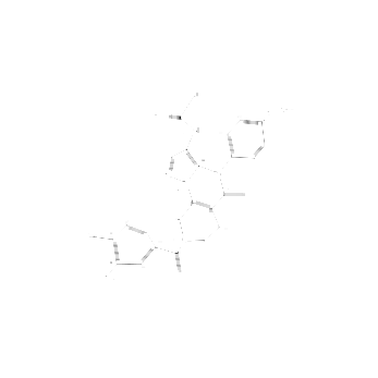 COc1ccc(-n2c(=O)c3c(n4ncc(NC(=O)C(C)C)c24)CN(C(=O)c2ccc(Cl)c(Cl)c2)CC3)cc1